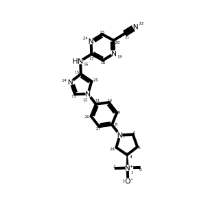 C[N+](C)([O-])[C@@H]1CCN(c2ccc(-n3cnc(Nc4cnc(C#N)cn4)c3)cc2)C1